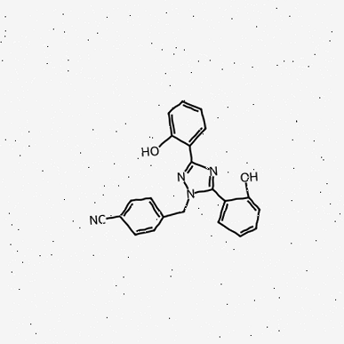 N#Cc1ccc(Cn2nc(-c3ccccc3O)nc2-c2ccccc2O)cc1